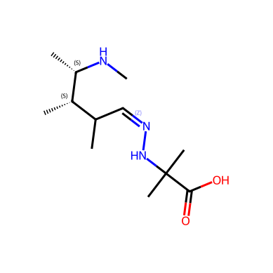 CN[C@@H](C)[C@@H](C)C(C)/C=N\NC(C)(C)C(=O)O